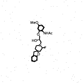 COc1ccc(NC(C)=O)c(OC[C@H](O)CN2CCC3(Cc4ccccc4O3)CC2F)c1